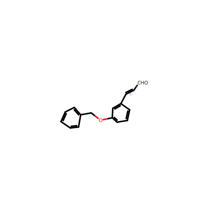 O=C/C=C/c1cccc(OCc2ccccc2)c1